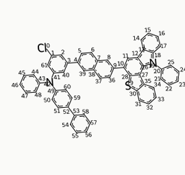 Clc1cc(-c2ccc3cc(-c4cc5c6ccccc6n(-c6ccccc6)c5c5c4sc4ccccc45)ccc3c2)cc(N(c2ccccc2)c2ccc(-c3ccccc3)cc2)c1